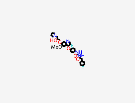 COc1cc2c(Oc3ccc(NC(=O)NC(=O)Cc4ccc(F)cc4)cc3F)ccnc2cc1OCC(O)CN1CCCC1